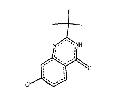 CC(C)(C)c1nc2cc(Cl)ccc2c(=O)[nH]1